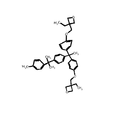 CCC1(COc2ccc(C(C)(c3ccc(OCC4(CC)COC4)cc3)c3ccc(C(C)(C)c4ccc(C)cc4)cc3)cc2)COC1